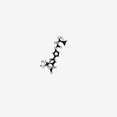 CC(NC(=O)OC1CCC(c2cc(NC=O)n(C(C)(C)C)n2)C1)C1CC1